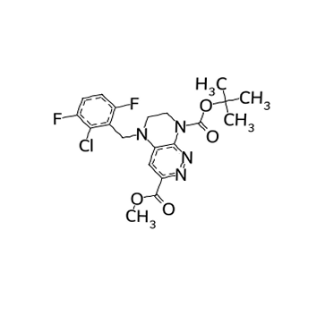 COC(=O)c1cc2c(nn1)N(C(=O)OC(C)(C)C)CCN2Cc1c(F)ccc(F)c1Cl